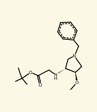 CO[C@@H]1CN(Cc2ccccc2)C[C@H]1NCC(=O)OC(C)(C)C